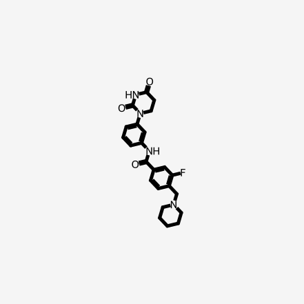 O=C1CCN(c2cccc(NC(=O)c3ccc(CN4CCCCC4)c(F)c3)c2)C(=O)N1